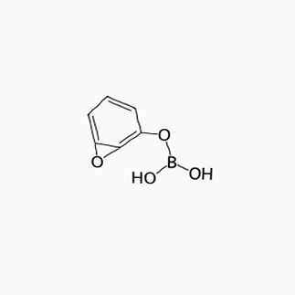 OB(O)Oc1cccc2c1O2